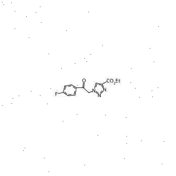 CCOC(=O)c1cn(CC(=O)c2ccc(F)cc2)nn1